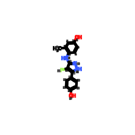 Cc1cc(O)ccc1Nc1n[nH]c(-c2ccc(O)cc2)c1F